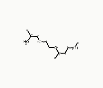 CPCCC(C)OCCOCC(C)O